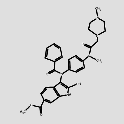 COC(=O)c1ccc2c(N(C(=O)c3ccccc3)c3ccc(N(C)C(=O)CN4CCN(C)CC4)cc3)c(O)[nH]c2c1